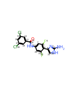 Nc1nc(-c2c(F)cc(NC(=O)c3cc(Cl)cc(Cl)c3)cc2F)c[nH]1